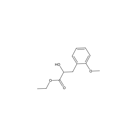 CCOC(=O)C(O)Cc1ccccc1OC